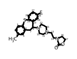 Cc1ccc2c(c1)CC(N1CCN(CCN3CCOC3=O)CC1)c1cc(F)ccc1S2